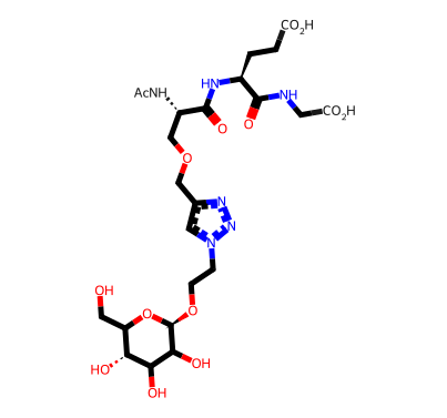 CC(=O)N[C@@H](COCc1cn(CCO[C@@H]2OC(CO)[C@@H](O)C(O)C2O)nn1)C(=O)N[C@@H](CCC(=O)O)C(=O)NCC(=O)O